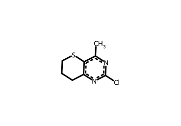 Cc1nc(Cl)nc2c1SCCC2